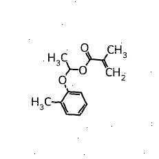 C=C(C)C(=O)OC(C)Oc1ccccc1C